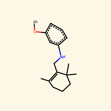 CC1=C(CNc2cccc(OC(C)C)c2)C(C)(C)CCC1